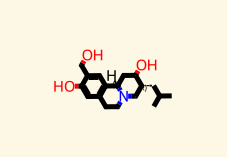 CC(C)C[C@@H]1CN2CCc3cc(O)c(CO)cc3[C@H]2CC1O